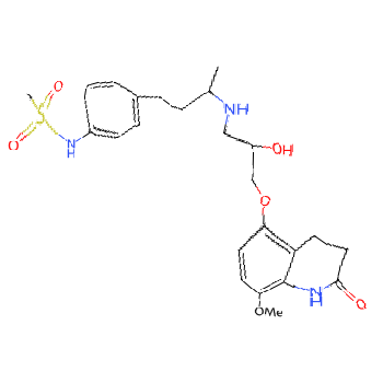 COc1ccc(OCC(O)CNC(C)CCc2ccc(NS(C)(=O)=O)cc2)c2c1NC(=O)CC2